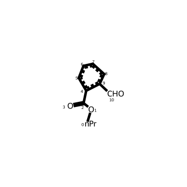 CCCOC(=O)c1ccccc1C=O